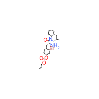 C=CCOC(=O)Oc1ccc(CC(N)C(=O)N2CC(C)Cc3ccccc32)c(Br)c1